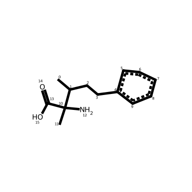 CC(CCc1ccccc1)C(C)(N)C(=O)O